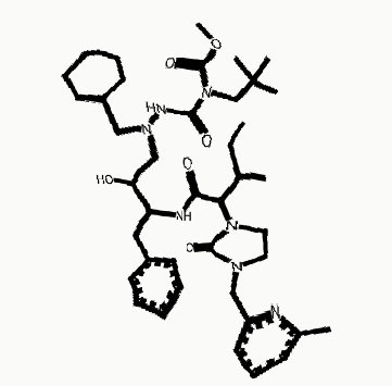 CCC(C)C(C(=O)NC(Cc1ccccc1)C(O)CN(CC1CCCCC1)NC(=O)N(CC(C)(C)C)C(=O)OC)N1CCN(Cc2cccc(C)n2)C1=O